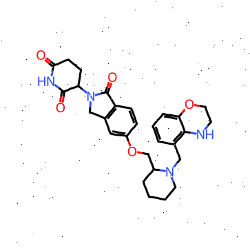 O=C1CCC(N2Cc3cc(OCC4CCCCN4Cc4cccc5c4NCCO5)ccc3C2=O)C(=O)N1